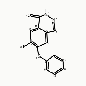 O=c1[nH]ncc2cc(Sc3ccccc3)c(F)cc12